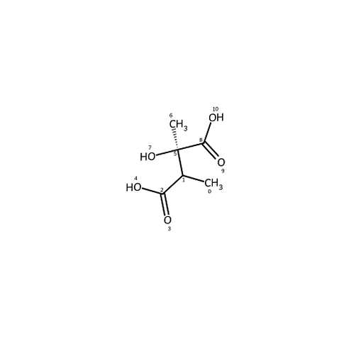 CC(C(=O)O)[C@@](C)(O)C(=O)O